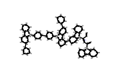 C=C/C(=C\C(=C)n1c2ccccc2c2ccccc21)n1c2ccccc2c2cc(-c3cccc4c3c3ccc(-c5ccccc5)cc3n4-c3ccc(-c4ccc(-n5c6ccccc6c6ccc(-c7ccccc7)cc65)cc4)cc3)ccc21